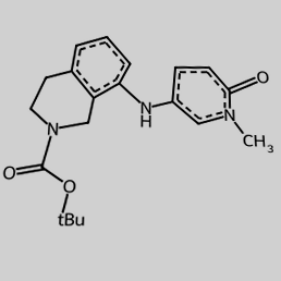 Cn1cc(Nc2cccc3c2CN(C(=O)OC(C)(C)C)CC3)ccc1=O